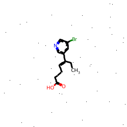 CC/C(=C\CCC(=O)O)c1cncc(Br)c1